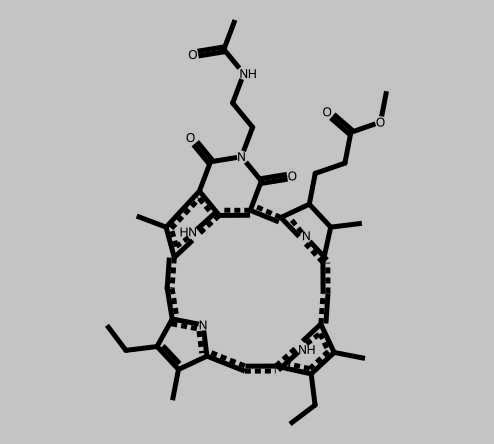 CCC1=C(C)c2cc3[nH]c(cc4nc(c5c6[nH]c(cc1n2)c(C)c6C(=O)N(CCNC(C)=O)C5=O)C(CCC(=O)OC)C4C)c(C)c3CC